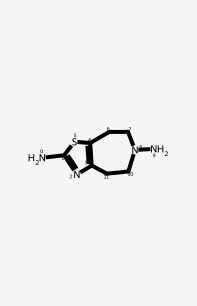 Nc1nc2c(s1)CCN(N)CC2